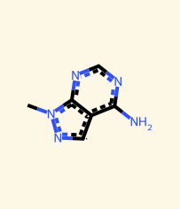 Cn1n[c]c2c(N)ncnc21